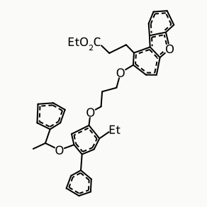 CCOC(=O)CCc1c(OCCCOc2cc(OC(C)c3ccccc3)c(-c3ccccc3)cc2CC)ccc2oc3ccccc3c12